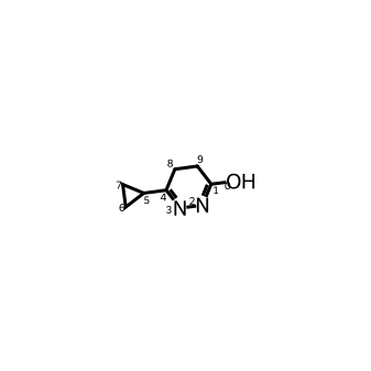 OC1=NN=C(C2CC2)CC1